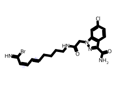 N=C(Br)/C=C\C=C\CCCCNC(=O)Cn1nc(C(N)=O)c2ccc(Cl)cc21